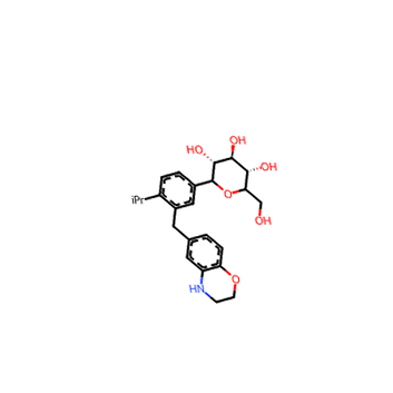 CC(C)c1ccc(C2OC(CO)[C@@H](O)[C@H](O)[C@H]2O)cc1Cc1ccc2c(c1)NCCO2